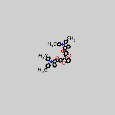 Cc1ccc(N(c2ccc(C)cc2)c2cc3oc4cc5c(cc4c3c3ccccc23)Oc2cccc3c2B5c2cc4oc5cc(N(c6ccc(C)cc6)c6ccc(C)cc6)c6ccccc6c5c4cc2O3)cc1